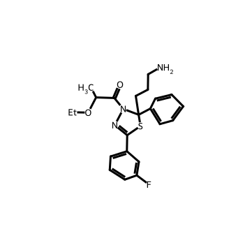 CCOC(C)C(=O)N1N=C(c2cccc(F)c2)SC1(CCCN)c1ccccc1